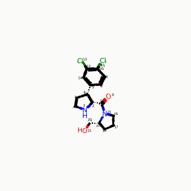 O=C([C@@H]1NCC[C@@H]1c1ccc(Cl)c(Cl)c1)N1CCC[C@@H]1CO